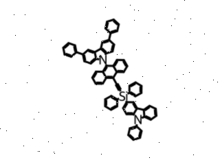 C(#C[Si](c1ccccc1)(c1ccccc1)c1ccc2c(c1)c1ccccc1n2-c1ccccc1)c1c2ccccc2c(-n2c3ccc(-c4ccccc4)cc3c3cc(-c4ccccc4)ccc32)c2ccccc12